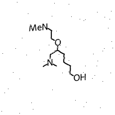 CNCCOC(CCCCO)CN(C)C